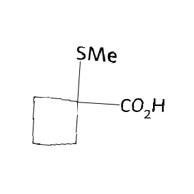 CSC1(C(=O)O)CCC1